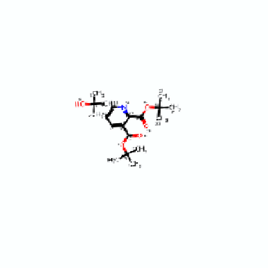 CC(C)(C)O.CC(C)(C)OC(=O)c1cccnc1C(=O)OC(C)(C)C